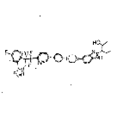 CCC(c1nc2cc(N3CCN(c4ccc(-c5ccc(C(F)(F)[C@]6(O)Cn7nnnc7-c7cc(F)ccc76)nc5)cc4)CC3)ccc2[nH]1)C(C)O